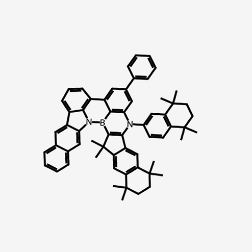 CC1(C)CCC(C)(C)c2cc(N3C4=C(B5c6c(cc(-c7ccccc7)cc63)-c3cccc6c7cc8ccccc8cc7n5c36)C(C)(C)c3cc5c(cc34)C(C)(C)CCC5(C)C)ccc21